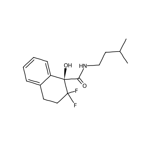 CC(C)CCNC(=O)[C@@]1(O)c2ccccc2CCC1(F)F